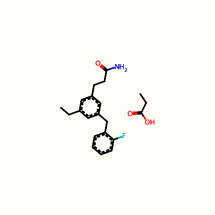 CCC(=O)O.CCc1cc(CCC(N)=O)cc(Cc2ccccc2F)c1